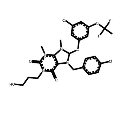 CN1c2c(c(=O)n(CCCO)c(=O)n2C)N(Cc2ccc(Cl)cc2)C1Oc1cc(Cl)cc(OC(C)(F)F)c1